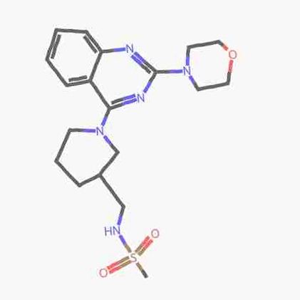 CS(=O)(=O)NCC1CCCN(c2nc(N3CCOCC3)nc3ccccc23)C1